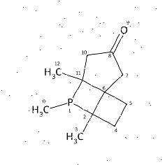 CP1C2(C)CCC23CC(=O)CC13C